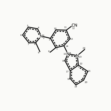 Cc1c(-[n+]2ccccc2C)cc(C#N)cc1-[n+]1cc2ccccc2n1C